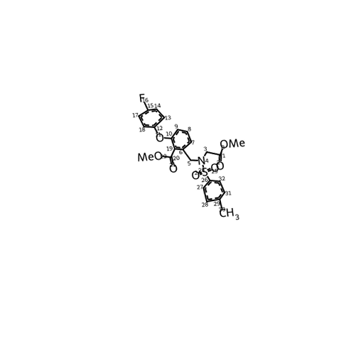 COC(=O)CN(Cc1cccc(Oc2ccc(F)cc2)c1C(=O)OC)S(=O)(=O)c1ccc(C)cc1